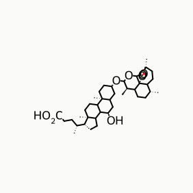 C[C@H]1C(O[C@@H]2CC[C@@]3(C)C(C2)C[C@@H](O)C2C3CC[C@@]3(C)C2CC[C@@H]3[C@H](C)CCC(=O)O)OC2O[C@]3(C)CCC4[C@H](C)CCC1[C@@]24OO3